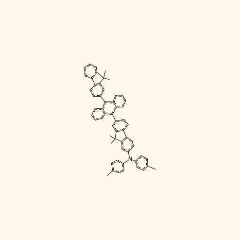 Cc1ccc(N(c2ccc(C)cc2)c2ccc3c(c2)C(C)(C)c2cc(-c4c5ccccc5c(-c5ccc6c(c5)C(C)(C)c5ccccc5-6)c5ccccc45)ccc2-3)cc1